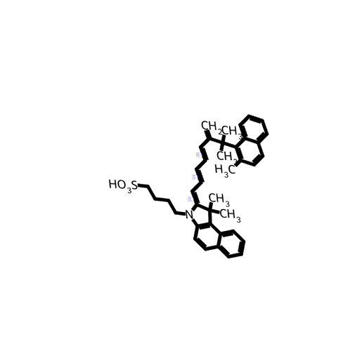 C=C(/C=C/C=C/C=C1/N(CCCCS(=O)(=O)O)c2ccc3ccccc3c2C1(C)C)C(C)(C)c1c(C)ccc2ccccc12